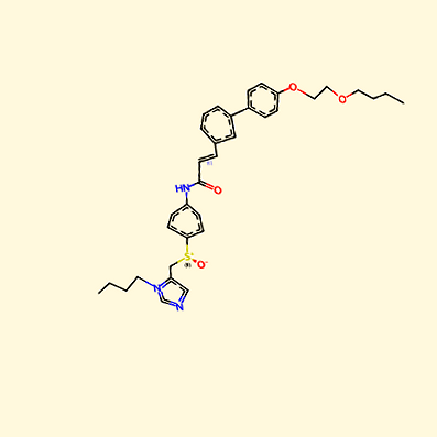 CCCCOCCOc1ccc(-c2cccc(/C=C/C(=O)Nc3ccc([S@@+]([O-])Cc4cncn4CCCC)cc3)c2)cc1